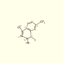 CC1c2cc(C(F)(F)F)ccc2C(Cl)=NN1Br